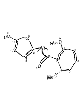 COc1cccc(OC)c1C(=O)Nc1nnc(C(C)(C)C)s1